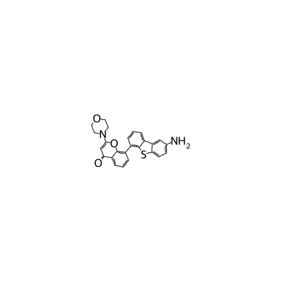 Nc1ccc2sc3c(-c4cccc5c(=O)cc(N6CCOCC6)oc45)cccc3c2c1